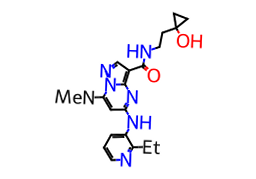 CCc1ncccc1Nc1cc(NC)n2ncc(C(=O)NCCC3(O)CC3)c2n1